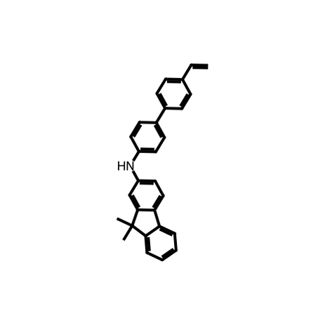 C=Cc1ccc(-c2ccc(Nc3ccc4c(c3)C(C)(C)c3ccccc3-4)cc2)cc1